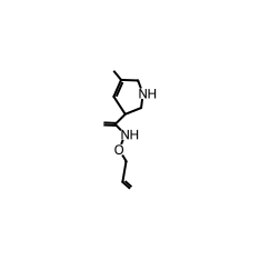 C=CCONC(=C)C1C=C(C)CNC1